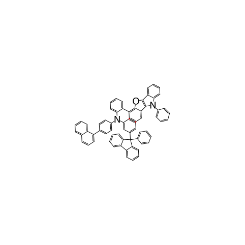 c1ccc(-n2c3ccccc3c3oc4c(-c5ccccc5N(c5ccc(-c6cccc7ccccc67)cc5)c5cccc(C6(c7ccccc7)c7ccccc7-c7ccccc76)c5)cccc4c32)cc1